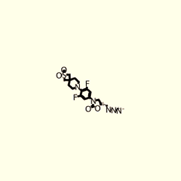 [N-]=[N+]=NC[C@H]1CN(c2cc(F)c(N3CCC4(CC3)CS(=O)(=O)C4)c(F)c2)C(=O)O1